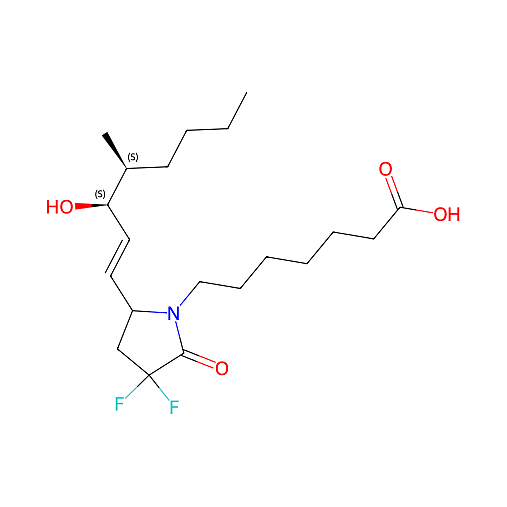 CCCC[C@H](C)[C@H](O)C=CC1CC(F)(F)C(=O)N1CCCCCCC(=O)O